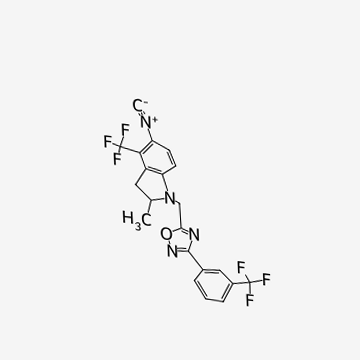 [C-]#[N+]c1ccc2c(c1C(F)(F)F)CC(C)N2Cc1nc(-c2cccc(C(F)(F)F)c2)no1